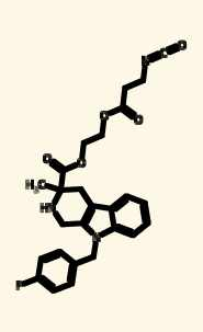 CC1(C(=O)OCCOC(=O)CCN=C=O)Cc2c(n(Cc3ccc(F)cc3)c3ccccc23)CN1